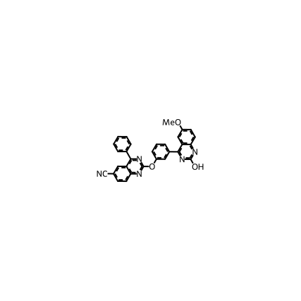 COc1ccc2nc(O)nc(-c3cccc(Oc4nc(-c5ccccc5)c5cc(C#N)ccc5n4)c3)c2c1